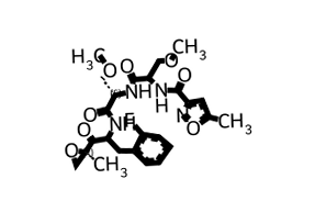 COCC(NC(=O)c1cc(C)on1)C(=O)N[C@@H](COC)C(=O)NC(Cc1ccccc1F)C(=O)[C@@]1(C)CO1